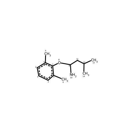 Cc1cccc(C)c1OC(N)CC(C)C